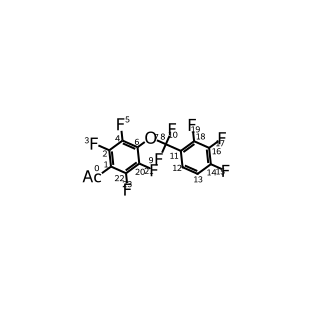 CC(=O)c1c(F)c(F)c(OC(F)(F)c2ccc(F)c(F)c2F)c(F)c1F